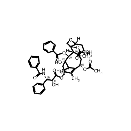 CC(=O)O[C@H]1C[C@]2(C)[C@@H](O)C[C@H]3OC[C@@]3(OC(C)=O)[C@H]2[C@H](OC(=O)c2ccccc2)[C@]2(O)C[C@H](OC(=O)[C@H](O)[C@@H](NC(=O)c3ccccc3)c3ccccc3)C(C)=C1C2(C)C